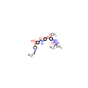 CCCCN1CCC(Oc2ccc(C(=O)Nc3ccc(Oc4ccc(NC(=O)NC(CC)CC)cc4OC)cc3)cc2O)CC1